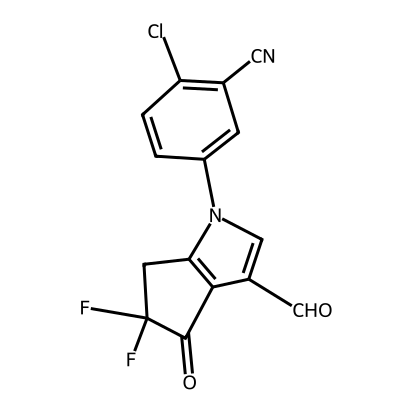 N#Cc1cc(-n2cc(C=O)c3c2CC(F)(F)C3=O)ccc1Cl